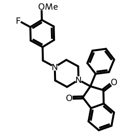 COc1ccc(CN2CCN(C3(c4ccccc4)C(=O)c4ccccc4C3=O)CC2)cc1F